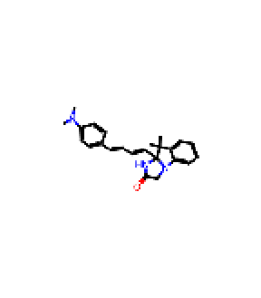 CN(C)c1ccc(C=CC=CC23NC(=O)CN2c2ccccc2C3(C)C)cc1